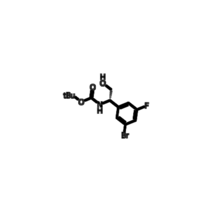 CC(C)(C)OC(=O)N[C@H](CO)c1cc(F)cc(Br)c1